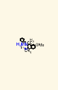 CCN(C)[C@@H]1Cc2ccc(OC)cc2C(C)(C)C1NCc1ccccc1N